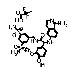 CCOc1cc(C(Nc2ccc3c(N)nccc3c2)C(=O)NCc2cc(S(N)(=O)=O)cc(S(N)(=O)=O)c2)ccc1OC(C)C.O=C(O)C(F)(F)F